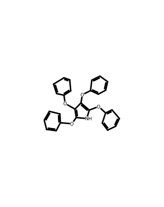 c1ccc(Oc2[nH]c(Oc3ccccc3)c(Oc3ccccc3)c2Oc2ccccc2)cc1